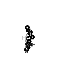 Cn1cc(-c2cccc(N3CCn4c(cc5c4CCCC5)C3=O)c2CO)cc(Nc2cc3n(n2)CCOC3)c1=O